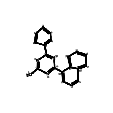 Oc1nc(-c2ccccc2)nc(-c2cccc3ccccc23)n1